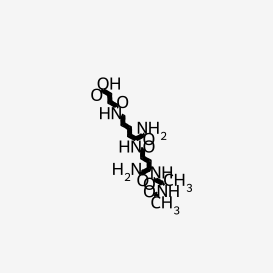 CC(=O)NC(C)C(=O)NC(CCC(=O)NC(CCCCNC(=O)CCC(=O)O)C(N)=O)C(N)=O